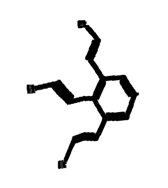 CCC=Cc1c[c]cc(C=CCC)c1C=CCC